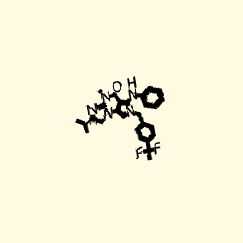 CC(C)[C@@H]1CN2C(=N1)N(C)C(=O)c1c2cn(Cc2ccc(C(C)(F)F)cc2)c1Nc1ccccc1